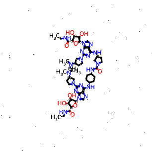 CCNC(=O)[C@H]1O[C@@H](n2cnc3c(N[C@@H]4CCN(C(=O)N[C@H]5CC[C@H](Nc6nc(N7CC[C@@H](N(C)C)C7)nc7c6ncn7[C@@H]6O[C@H](C(=O)NCC)[C@@H](O)[C@H]6O)CC5)C4)nc(N4CC[C@@H](N(C)C)C4)nc32)[C@H](O)[C@@H]1O